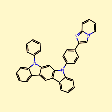 c1ccc(-n2c3ccccc3c3cc4c5ccccc5n(-c5ccc(-c6cn7ccccc7n6)cc5)c4cc32)cc1